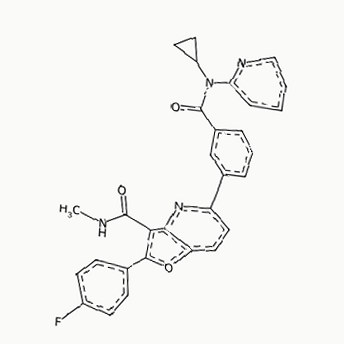 CNC(=O)c1c(-c2ccc(F)cc2)oc2ccc(-c3cccc(C(=O)N(c4ccccn4)C4CC4)c3)nc12